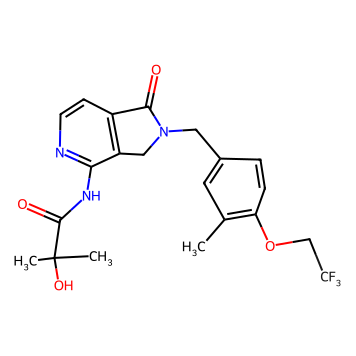 Cc1cc(CN2Cc3c(ccnc3NC(=O)C(C)(C)O)C2=O)ccc1OCC(F)(F)F